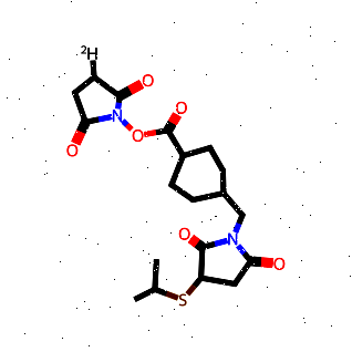 [2H]C1CC(=O)N(OC(=O)C2CCC(CN3C(=O)CC(SC(C)C)C3=O)CC2)C1=O